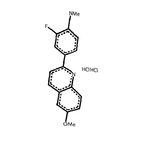 CNc1ccc(-c2ccc3cc(OC)ccc3n2)cc1F.Cl.Cl